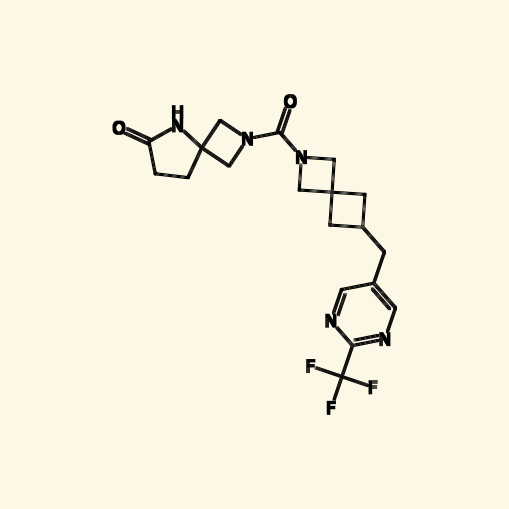 O=C1CCC2(CN(C(=O)N3CC4(CC(Cc5cnc(C(F)(F)F)nc5)C4)C3)C2)N1